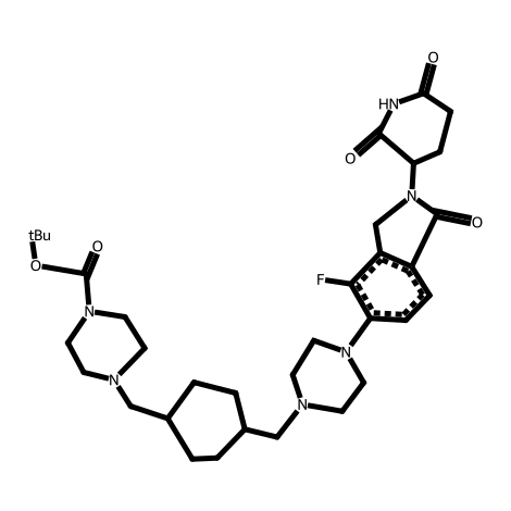 CC(C)(C)OC(=O)N1CCN(CC2CCC(CN3CCN(c4ccc5c(c4F)CN(C4CCC(=O)NC4=O)C5=O)CC3)CC2)CC1